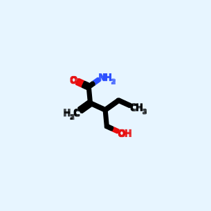 C=C(C(N)=O)C(CC)CO